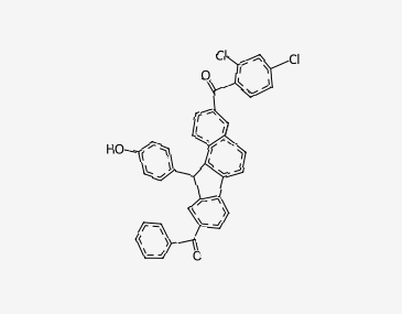 O=C(c1ccccc1)c1ccc2c(c1)C(c1ccc(O)cc1)c1c-2ccc2cc(C(=O)c3ccc(Cl)cc3Cl)ccc12